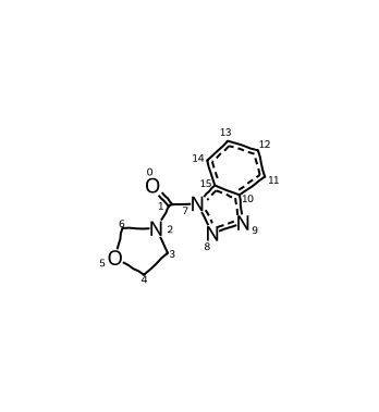 O=C(N1CCOC1)n1nnc2ccccc21